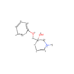 CN1CCCC(O)(COc2ccccc2)C1